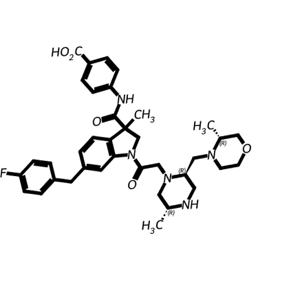 C[C@@H]1CN(CC(=O)N2CC(C)(C(=O)Nc3ccc(C(=O)O)cc3)c3ccc(Cc4ccc(F)cc4)cc32)[C@@H](CN2CCOC[C@H]2C)CN1